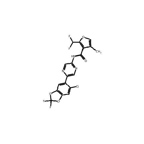 Cc1coc(C(F)F)c1C(=O)Nc1cnc(-c2cc3c(cc2Cl)OC(F)(F)O3)cn1